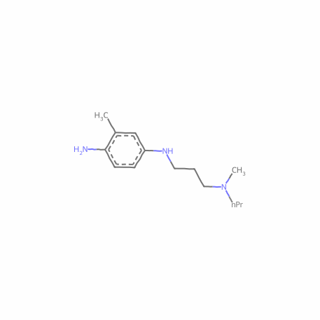 CCCN(C)CCCNc1ccc(N)c(C)c1